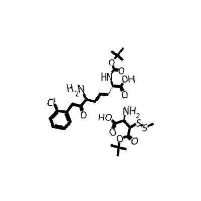 CC(C)(C)OC(=O)N[C@@H](CCCC(N)C(=O)Cc1ccccc1Cl)C(=O)O.CSSC(C(=O)OC(C)(C)C)[C@H](N)C(=O)O